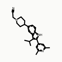 Cc1cc(-c2[nH]c3ccc(C4CCN(CC#N)CC4)cc3c2C(C)C)cc(C)n1